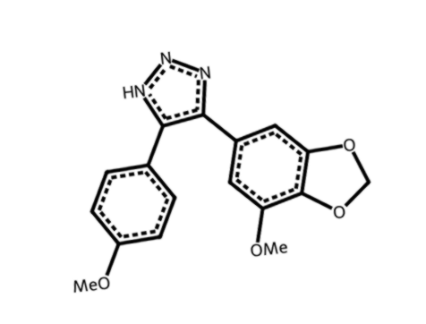 COc1ccc(-c2[nH]nnc2-c2cc(OC)c3c(c2)OCO3)cc1